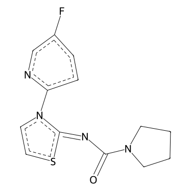 O=C(N=c1sccn1-c1ccc(F)cn1)N1CCCC1